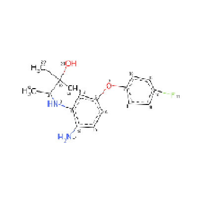 CC(Nc1cc(Oc2ccc(F)cc2)ccc1N)C(C)(C)O